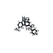 CN(C)C1CCc2[nH]c3ccc(C(=O)Nc4ccncc4)cc3c2C1.Cl.Cl